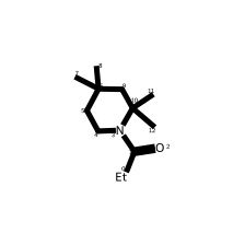 CCC(=O)N1CCC(C)(C)CC1(C)C